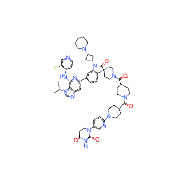 CC(C)n1cnc2cc(-c3ccc4c(c3)N([C@H]3C[C@@H](N5CCCCC5)C3)C(=O)C43CCN(C(=O)C4CCN(C(=O)C5CCN(c6ccc(N7CCC(=O)NC7=O)cn6)CC5)CC4)CC3)nc(Nc3ccncc3F)c21